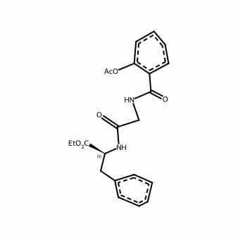 CCOC(=O)[C@H](Cc1ccccc1)NC(=O)CNC(=O)c1ccccc1OC(C)=O